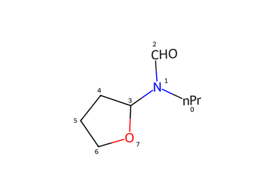 CCCN(C=O)C1CCCO1